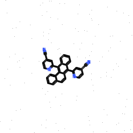 N#Cc1ccnc(-c2c3ccccc3c(-c3cc(C#N)ccn3)c3c2ccc2ccccc23)c1